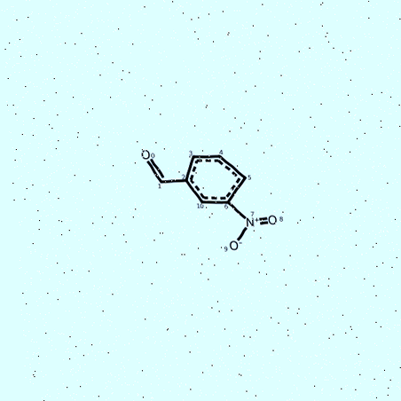 O=Cc1[c]ccc([N+](=O)[O-])c1